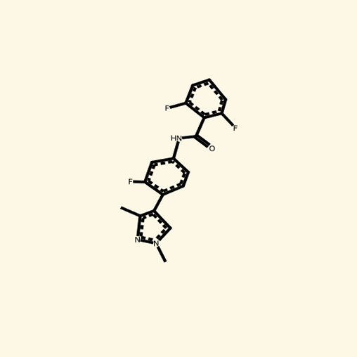 Cc1nn(C)cc1-c1ccc(NC(=O)c2c(F)cccc2F)cc1F